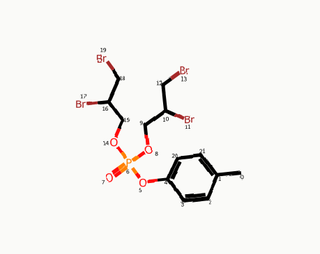 Cc1ccc(OP(=O)(OCC(Br)CBr)OCC(Br)CBr)cc1